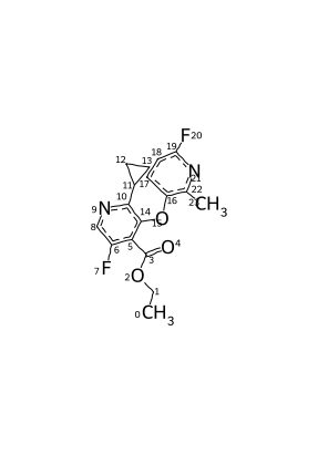 CCOC(=O)c1c(F)cnc(C2CC2)c1Oc1ccc(F)nc1C